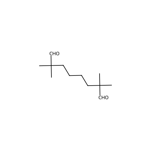 CC(C)(C=O)CCCCC(C)(C)C=O